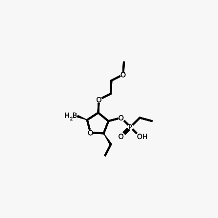 B[C@@H]1O[C@H](CC)C(OP(=O)(O)CC)C1OCCOC